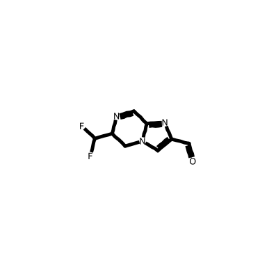 O=Cc1cn2c(n1)C=NC(C(F)F)C2